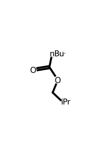 CCC[CH]C(=O)OCC(C)C